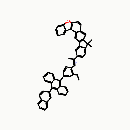 CCc1cc(-c2c3ccccc3c(-c3ccc4ccccc4c3)c3ccccc23)ccc1/C=C(\C)c1ccc2c(c1)-c1cc3c(ccc4oc5ccccc5c43)cc1C2(C)C